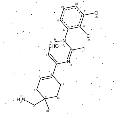 C/C(=N/C(=C\C=O)C1=CCC(C)(CN)CC1)N(C)c1cccc(Cl)c1Cl